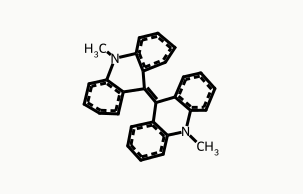 CN1c2ccccc2C(=C2c3ccccc3N(C)c3ccccc32)c2ccccc21